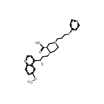 COc1ccc2nccc([C@@H](F)CC[C@@H]3CCN(CCCSc4ccncc4)C[C@@H]3C(=O)O)c2c1